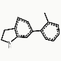 Cc1ccccc1-c1ccc2c(c1)NCC2